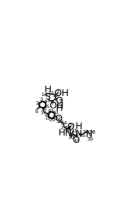 Cc1ccc([C@H]2[C@H](O)[C@H](O)[C@H](O)C[SH]2C)cc1Cc1ccc(OCCCC(=O)NC(C)(C)C(=O)NCCN(C)C)cc1